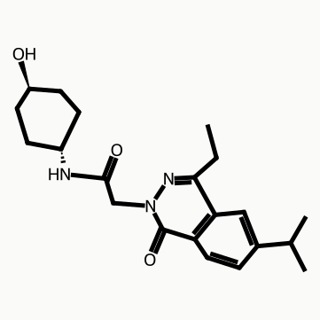 CCc1nn(CC(=O)N[C@H]2CC[C@H](O)CC2)c(=O)c2ccc(C(C)C)cc12